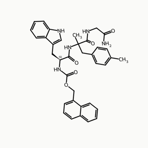 Cc1ccc(CC(C)(NC(=O)[C@H](Cc2c[nH]c3ccccc23)NC(=O)OCc2cccc3ccccc23)C(=O)NCC(N)=O)cc1